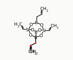 C=CCB1O[Si]2(C=C)OB(CC=C)O[Si](C=C)(O1)OB(CC=C)O2